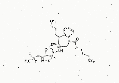 CC(O)(C(=O)NCC(F)(F)C(F)(F)F)C(=O)N[C@H]1CN(C(=O)OCCCC(F)(F)F)c2ccccc2N(CCCC(F)(F)F)C1=O